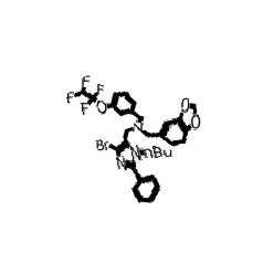 CCCCn1c(-c2ccccc2)nc(Br)c1CN(Cc1cccc(OC(F)(F)C(F)F)c1)Cc1ccc2c(c1)OCO2